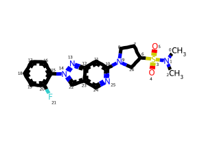 CN(C)S(=O)(=O)C1CCN(c2cc3nn(-c4ccccc4F)cc3cn2)C1